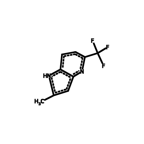 Cc1cc2nc(C(F)(F)F)ccc2[nH]1